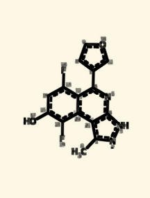 Cc1n[nH]c2nc(-c3ccoc3)c3c(F)cc(O)c(F)c3c12